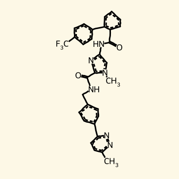 Cc1ccc(-c2ccc(CNC(=O)c3nc(NC(=O)c4ccccc4-c4ccc(C(F)(F)F)cc4)cn3C)cc2)nn1